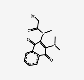 CN(C)C1=C(N(C)C(=O)CBr)C(=O)c2ccccc2C1=O